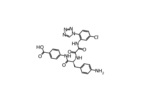 Nc1ccc(C[C@H](NC(=O)C(=O)Nc2cc(Cl)ccc2-n2cnnn2)C(=O)Nc2ccc(C(=O)O)cc2)cc1